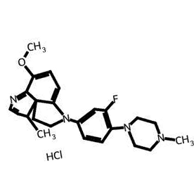 COC1=CC=C2N(c3ccc(N4CCN(C)CC4)c(F)c3)CCC23C1=NC=CC3C.Cl